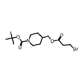 CC(C)(C)OC(=O)N1CCC(COC(=O)CCS)CC1